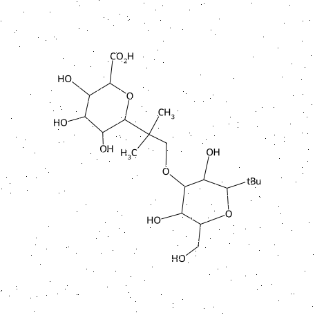 CC(C)(C)C1OC(CO)C(O)C(OCC(C)(C)C2OC(C(=O)O)C(O)C(O)C2O)C1O